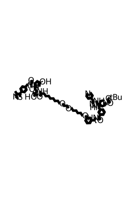 Cc1ncsc1-c1ccc(CNC(=O)[C@@H]2C[C@@H](O)CN2C(=O)[C@@H](NC(=O)CCCCCCCCOCCOCCCCCCOc2cccc([C@H](C)NC(=O)c3cccc(NC4(c5nnc(-c6ccncc6)[nH]5)CCN(C(=O)OC(C)(C)C)CC4)c3)c2)C(C)(C)O)cc1